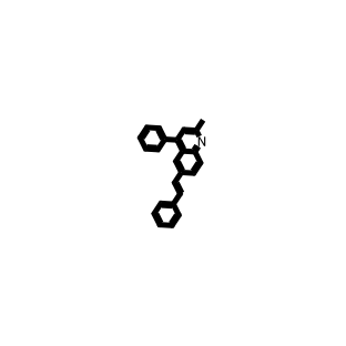 Cc1cc(-c2ccccc2)c2cc(/C=C/c3ccccc3)ccc2n1